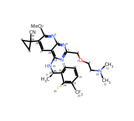 COc1nc2nc(COCCN(C)C)nc(N[C@H](C)c3cccc(C(F)(F)F)c3F)c2cc1C1(C#N)CC1